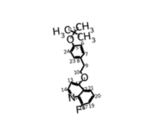 CC(C)(C)Oc1ccc(CCOc2ccnc3c(F)cccc23)cc1